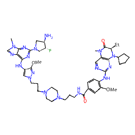 CC[C@@H]1C(=O)N(C)c2cnc(Nc3ccc(C(=O)NCCCN4CCN(CCCn5cc(Nc6nc(N7C[C@@H](N)[C@H](F)C7)nc7c6ncn7C)c(OC)n5)CC4)cc3OC)nc2N1C1CCCC1